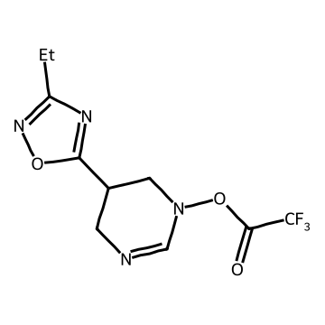 CCc1noc(C2CN=CN(OC(=O)C(F)(F)F)C2)n1